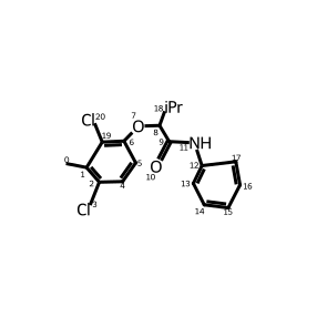 Cc1c(Cl)ccc(OC(C(=O)Nc2ccccc2)C(C)C)c1Cl